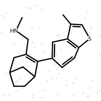 CNCC1=C(c2ccc3scc(C)c3c2)C2CCC(C1)C2